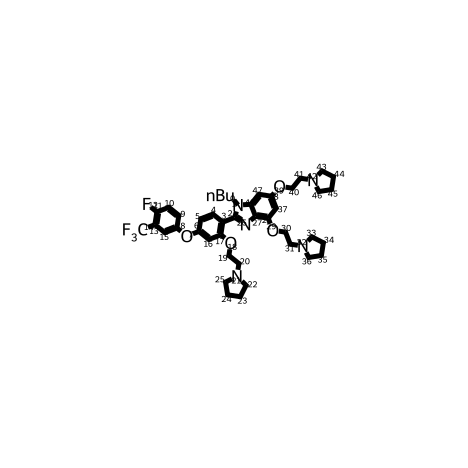 CCCCn1c(-c2ccc(Oc3ccc(F)c(C(F)(F)F)c3)cc2OCCN2CCCC2)nc2c(OCCN3CCCC3)cc(OCCN3CCCC3)cc21